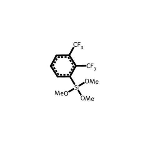 CO[Si](OC)(OC)c1cccc(C(F)(F)F)c1C(F)(F)F